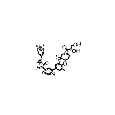 Cc1cc(-c2cc(NC(=O)[C@@H]3C[C@H]3c3cnn(C)c3)ncn2)ccc1O[C@H]1CCN(C(=O)[C@@H](O)CO)CC1(F)F